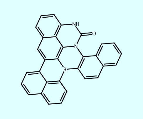 O=C1Nc2cccc3cc4c5c(c23)N1c1c(ccc2ccccc12)B5c1cccc2cccc-4c12